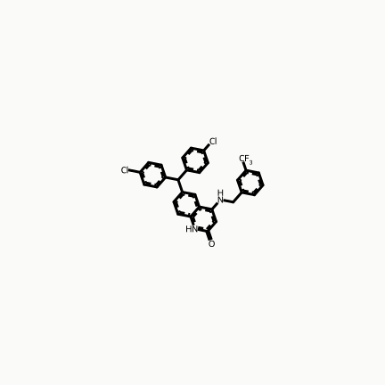 O=c1cc(NCc2cccc(C(F)(F)F)c2)c2cc(C(c3ccc(Cl)cc3)c3ccc(Cl)cc3)ccc2[nH]1